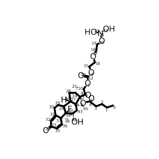 CCCCC(=O)O[C@]1(C(=O)COC(=O)OCCOCCON(O)O)[C@@H](C)C[C@H]2C3CCC4=CC(=O)C=C[C@]4(C)[C@@]3(F)[C@@H](O)C[C@@]21C